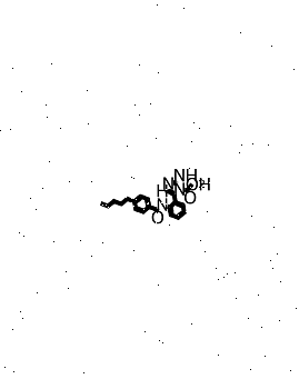 CCCCCc1ccc(C(=O)Nc2ccccc2-c2cnc(N)n2C(=O)O)cc1